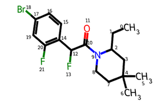 CCC1CC(C)(C)CCN1C(=O)C(F)c1ccc(Br)cc1F